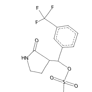 CS(=O)(=O)OC(c1cccc(C(F)(F)F)c1)C1CCNC1=O